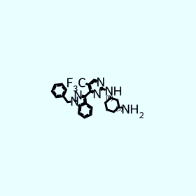 N[C@H]1CCC[C@@H](Nc2ncc(C(F)(F)F)c(-c3nn(Cc4ccccc4)c4ccccc34)n2)C1